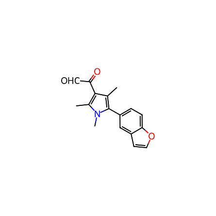 Cc1c(C(=O)C=O)c(C)n(C)c1-c1ccc2occc2c1